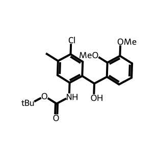 COc1cccc(C(O)c2cc(Cl)c(C)cc2NC(=O)OC(C)(C)C)c1OC